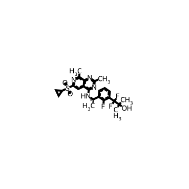 Cc1nc(N[C@H](C)c2cccc(C(F)(F)C(C)(C)O)c2F)c2cc(S(=O)(=O)C3CC3)nc(C)c2n1